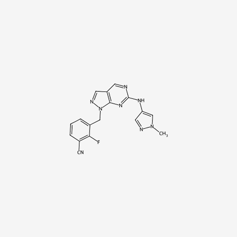 Cn1cc(Nc2ncc3cnn(Cc4cccc(C#N)c4F)c3n2)cn1